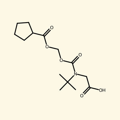 CC(C)(C)N(CC(=O)O)C(=O)OCOC(=O)C1CCCC1